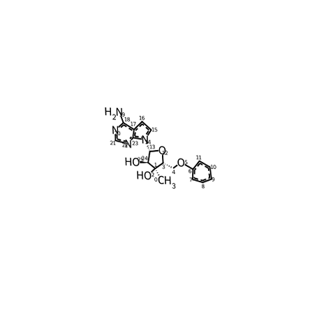 C[C@@]1(O)[C@@H](COc2ccccc2)O[C@@H](n2ccc3c(N)ncnc32)[C@@H]1O